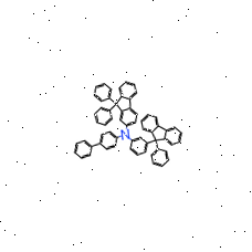 c1ccc(-c2ccc(N(c3cccc(C4(c5ccccc5)c5ccccc5-c5ccccc54)c3)c3ccc4c(c3)C(c3ccccc3)(c3ccccc3)c3ccccc3-4)cc2)cc1